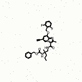 C#Cc1cc(OCc2c(F)cccc2F)c2nc(C)c(C(=O)NCC(C)(CCC)NC(=O)OCc3ccccc3)n2c1